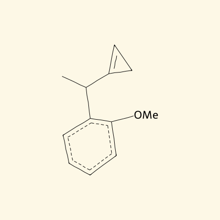 COc1ccccc1C(C)C1=CC1